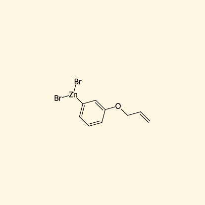 C=CCOc1ccc[c]([Zn]([Br])[Br])c1